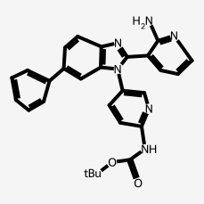 CC(C)(C)OC(=O)Nc1ccc(-n2c(-c3cccnc3N)nc3ccc(-c4ccccc4)cc32)cn1